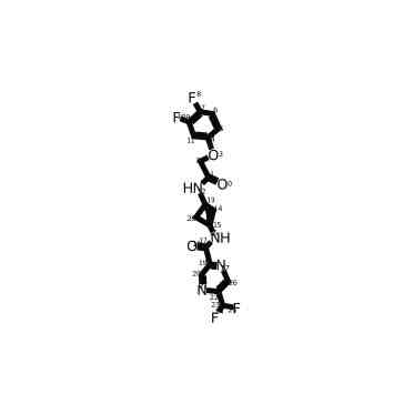 O=C(COc1ccc(F)c(F)c1)NC12CC(NC(=O)c3cnc(C(F)F)cn3)(C1)C2